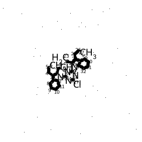 C=Cc1c(/C=C\C)c2ccccc2n1-c1nc(Cl)nc(-n2c(C=C)c(/C=C\C)c3ccccc32)n1